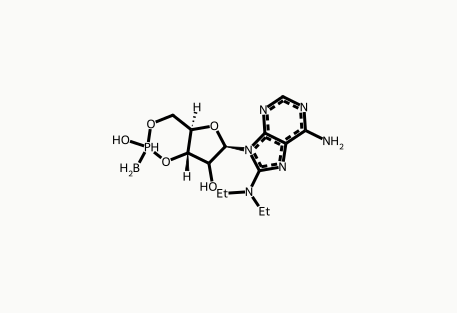 B[PH]1(O)OC[C@H]2O[C@@H](n3c(N(CC)CC)nc4c(N)ncnc43)C(O)[C@@H]2O1